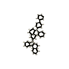 c1ccc(-c2ccc(N(c3ccccc3)c3cccc4cc(-n5c6ccccc6c6c7ccccc7ccc65)ccc34)cc2)cc1